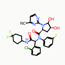 N#Cc1ccnc(N2C(O)[C@@H](O)C[C@H]2C(=O)N(c2cccc(F)c2)[C@H](C(=O)NC2CCC(F)(F)CC2)c2ccccc2Cl)n1